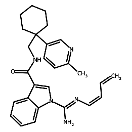 C=C/C=C\N=C(/N)n1cc(C(=O)NCC2(c3ccc(C)nc3)CCCCC2)c2ccccc21